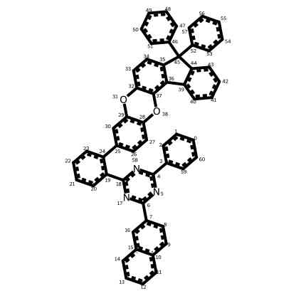 c1ccc(-c2nc(-c3ccc4ccccc4c3)nc(-c3ccccc3-c3ccc4c(c3)Oc3ccc5c(c3O4)-c3ccccc3C5(c3ccccc3)c3ccccc3)n2)cc1